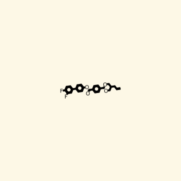 C=CCC1COC(c2ccc(C(=O)Oc3ccc(-c4ccc(F)c(F)c4)cc3)cc2)OC1